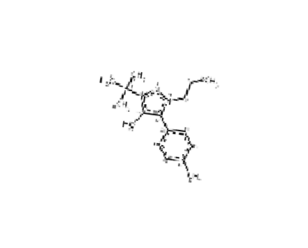 CCCn1nc(C(C)(C)C)c(O)c1-c1ccc(C)cc1